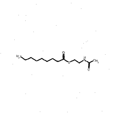 CC(=O)NCCSC(=O)CCCCCCCN